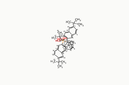 CC(C)(C)c1ccc2cc(C3(P(O)(O)(O)c4cc5ccc(C(C)(C)C)cc5cc4C(C)(C)C)CCCCC3)c(C(C)(C)C)cc2c1